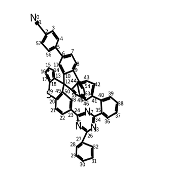 N#Cc1ccc(-c2ccc3c(c2)C2(c4ccccc4Sc4ccc(-c5nc(-c6ccccc6)nc(-c6ccccc6-c6ccccc6)n5)cc42)c2ccccc2-3)cc1